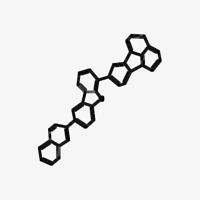 c1ccc2cc(-c3ccc4oc5c(-c6ccc7c(c6)-c6cccc8cccc-7c68)cccc5c4c3)ccc2c1